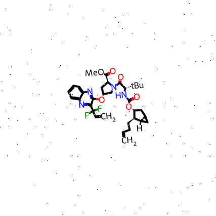 C=CCC[C@H]1[C@H](OC(=O)N[C@H](C(=O)N2C[C@H](Oc3nc4ccccc4nc3C(F)(F)C=C)C[C@H]2C(=O)OC)C(C)(C)C)CC2C[C@@H]21